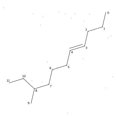 CCCC=CCCCC(C)CC